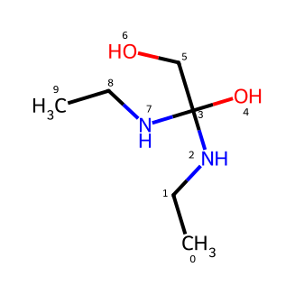 CCNC(O)(CO)NCC